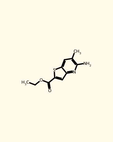 CCOC(=O)c1cc2nc(N)c(C)cc2s1